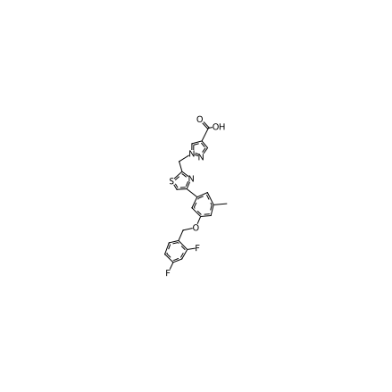 Cc1cc(OCc2ccc(F)cc2F)cc(-c2csc(Cn3cc(C(=O)O)cn3)n2)c1